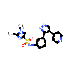 Cc1nc(S(=O)(=O)Nc2cccc(-c3n[nH]cc3-c3ccncc3)c2)cn1C